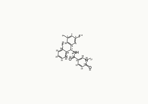 Cc1cc(F)cc(C(NC(=O)c2ccc(=O)n(C)c2)c2ncccc2F)c1